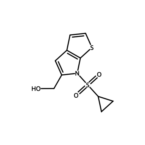 O=S(=O)(C1CC1)n1c(CO)cc2ccsc21